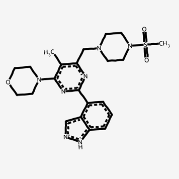 Cc1c(CN2CCN(S(C)(=O)=O)CC2)nc(-c2cccc3[nH]ncc23)nc1N1CCOCC1